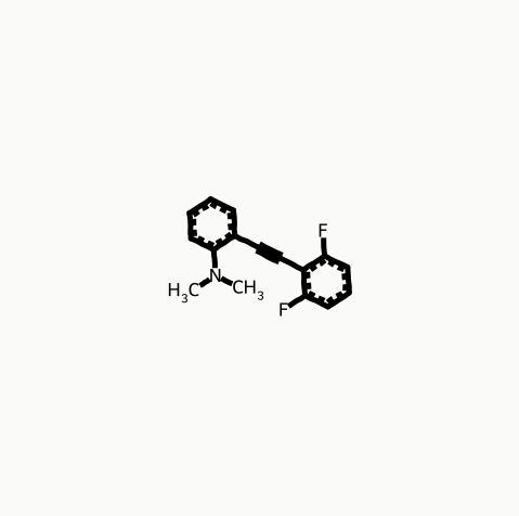 CN(C)c1ccccc1C#Cc1c(F)cccc1F